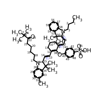 CCCCN1/C(=C/C=C2\CCCC(/C=C/C3=[N+](CCCCCC(=O)C(C)(C)C)c4ccc(C)cc4C3(C)C)=C2Oc2ccc(S(=O)(=O)O)cc2)C(C)(C)c2ccccc21